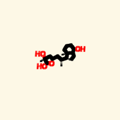 C[C@H](CCC[C@](C)(O)C(=O)O)[C@H]1CCC2C(O)CCC[C@@]21C